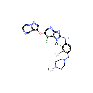 CN1CCN(Cc2ccc(Nc3nc4ncc(Oc5cnn6ccncc56)c(Cl)c4n3C)cc2C(F)(F)F)CC1